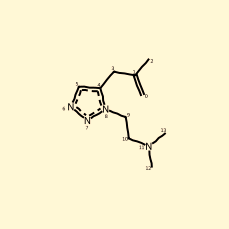 C=C(C)Cc1cnnn1CCN(C)C